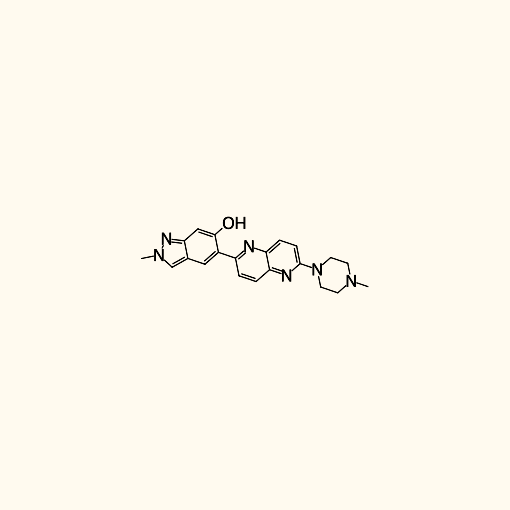 CN1CCN(c2ccc3nc(-c4cc5cn(C)nc5cc4O)ccc3n2)CC1